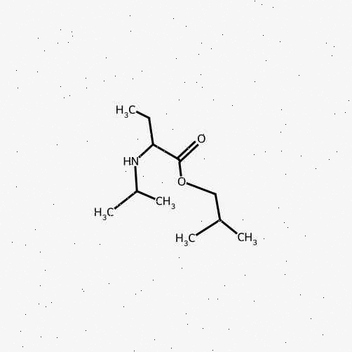 CCC(NC(C)C)C(=O)OCC(C)C